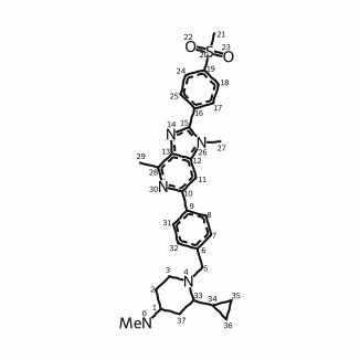 CNC1CCN(Cc2ccc(-c3cc4c(nc(-c5ccc(S(C)(=O)=O)cc5)n4C)c(C)n3)cc2)C(C2CC2)C1